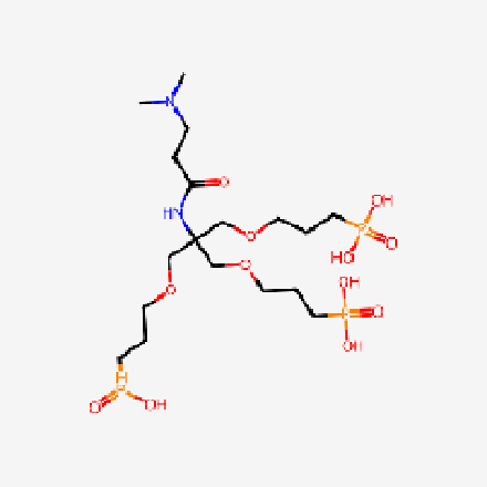 CN(C)CCC(=O)NC(COCCC[PH](=O)O)(COCCCP(=O)(O)O)COCCCP(=O)(O)O